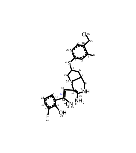 Cc1cc(SC2CC3CNC(N)=C(/C=C(\N)c4cccc(F)c4O)N3C2)ncc1CCl